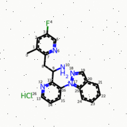 Cc1cc(F)cnc1CC(N)c1ncccc1-n1ncc2ccccc21.Cl